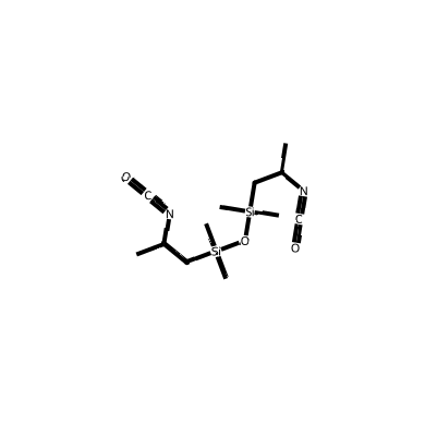 CC(C[Si](C)(C)O[Si](C)(C)CC(C)N=C=O)N=C=O